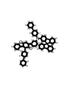 c1ccc(-c2ccc(-c3c4oc5ccc(N(c6ccc(-c7ccccc7)cc6)c6ccc7c(c6)C6(c8ccccc8-c8ccccc86)c6ccccc6-7)cc5c4cc4oc5ccccc5c34)cc2)cc1